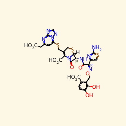 Nc1nc(/C(=N/OCc2c(C(=O)O)ccc(O)c2O)C(=O)N[C@@H]2C(=O)N3C(C(=O)O)=C(CSc4cc(CC(=O)O)nc5ncnn45)CS[C@H]23)cs1